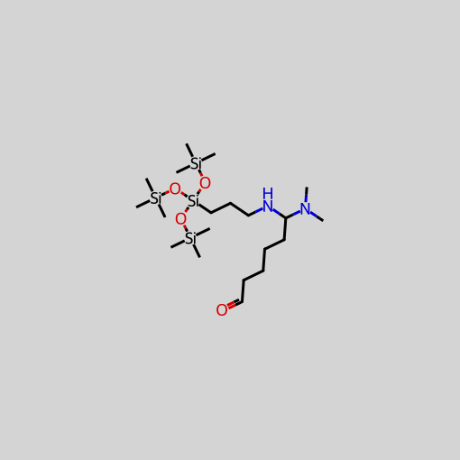 CN(C)C(CCCCC=O)NCCC[Si](O[Si](C)(C)C)(O[Si](C)(C)C)O[Si](C)(C)C